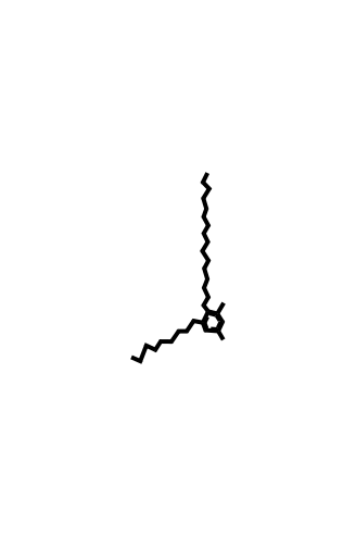 CCCCCCCCCCCCCCCCc1c(C)cc(C)cc1CCCCCCCCC